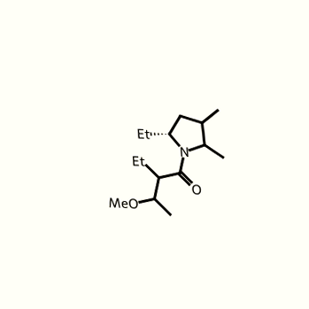 CCC(C(=O)N1C(C)C(C)C[C@H]1CC)C(C)OC